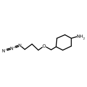 [N-]=[N+]=NCCCOCC1CCC(N)CC1